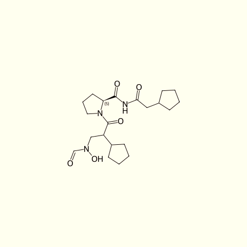 O=CN(O)CC(C(=O)N1CCC[C@H]1C(=O)NC(=O)CC1CCCC1)C1CCCC1